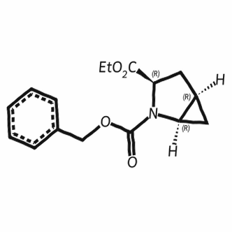 CCOC(=O)[C@H]1C[C@H]2C[C@H]2N1C(=O)OCc1ccccc1